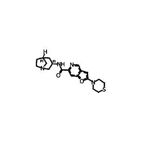 O=C(N[C@@H]1C[C@H]2CCN(C2)C1)c1cc2oc(N3CCSCC3)cc2cn1